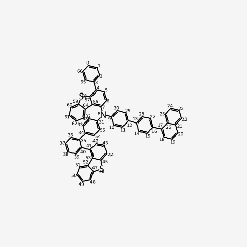 c1ccc(-c2ccc(N(c3ccc(-c4ccc(-c5cccc6ccccc56)cc4)cc3)c3ccc(-c4ccccc4-c4cccc5sc6ccccc6c45)cc3)c3c2sc2ccccc23)cc1